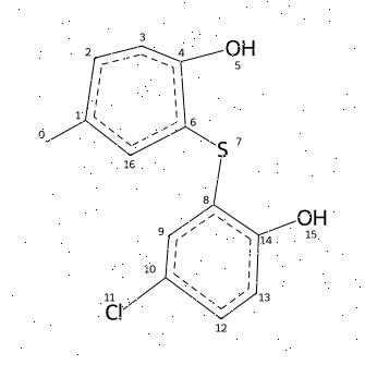 Cc1ccc(O)c(Sc2cc(Cl)ccc2O)c1